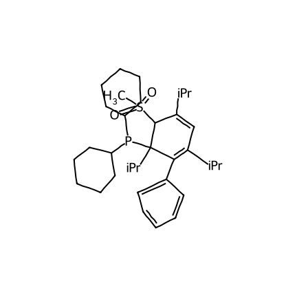 CC(C)C1=CC(C(C)C)=C(c2ccccc2)C(C(C)C)(P(C2CCCCC2)C2CCCCC2)C1S(C)(=O)=O